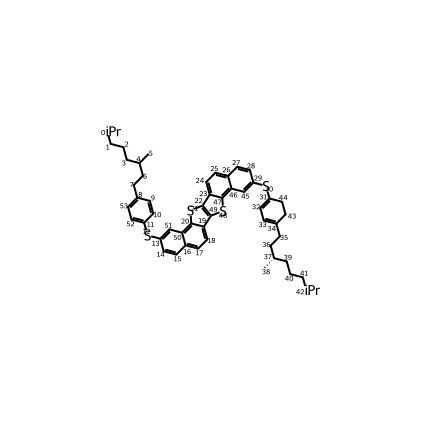 CC(C)CCCC(C)CCc1ccc(Sc2ccc3ccc4c(sc5c6ccc7ccc(SC8=CC=C(CC[C@@H](C)CCCC(C)C)CC8)cc7c6sc45)c3c2)cc1